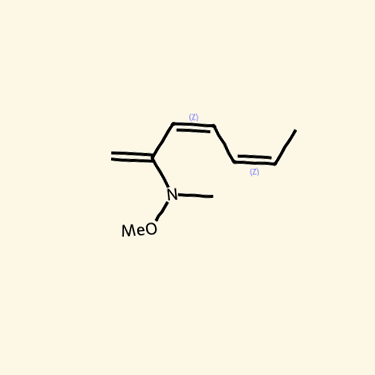 C=C(/C=C\C=C/C)N(C)OC